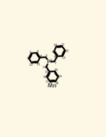 [Mn].c1ccc(CP(Cc2ccccc2)Cc2ccccc2)cc1